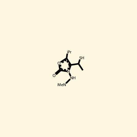 CNNn1c(C(C)S)c(C(C)C)oc1=O